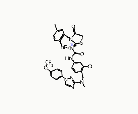 CCCc1ccc(C)cc1N1C(=O)CS/C1=N\C(=O)Nc1ccc(CN(C)c2ncn(-c3ccc(OC(F)(F)F)cc3)n2)c(Cl)c1